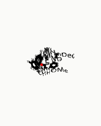 CCCCCCCCCCCC(=O)Nc1ccc(OC)c(Nc2[nH]n(-c3c(C)cc(C)cc3Cl)c(=O)c2Sc2nnnn2-c2ccccc2)c1